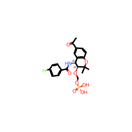 CC(=O)c1ccc2c(c1)[C@H](NC(=O)c1ccc(F)cc1)[C@H](OCOP(=O)(O)O)C(C)(C)O2